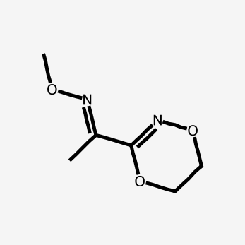 CO/N=C(\C)C1=NOCCO1